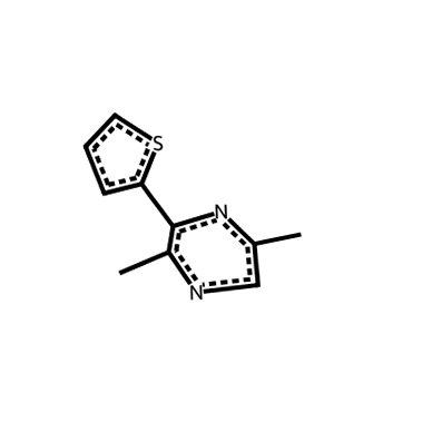 Cc1cnc(C)c(-c2cccs2)n1